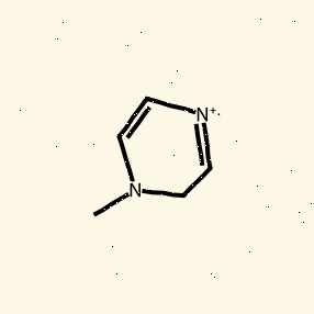 CN1C=C[N+]=CC1